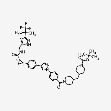 CC(C)(C)OC(=O)N1CCN(CC2CCN(C(=O)c3ccc(-n4cc(-c5ccc([C@H]6C[C@@H]6C(=O)NCc6nc(C(C)(C)C(F)(F)F)n[nH]6)cc5)cn4)cc3)CC2)CC1